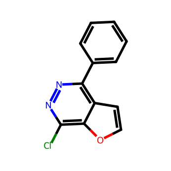 Clc1nnc(-c2ccccc2)c2ccoc12